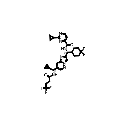 O=C(CCC(F)(F)F)N[C@@H](c1cnn2cc([C@@H](NC(=O)c3ccnc(C4CC4)n3)C3CCC(F)(F)CC3)nc2c1)C1CC1